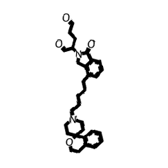 O=CCCC(C=O)N1Cc2c(CCCCCN3CCC4(CC3)OCCc3ccccc34)cccc2C1=O